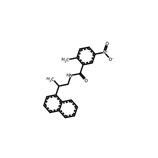 Cc1ccc([N+](=O)[O-])cc1C(=O)NCC(C)c1cccc2ccccc12